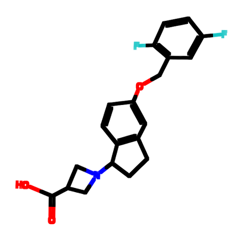 O=C(O)C1CN(C2CCc3cc(OCc4cc(F)ccc4F)ccc32)C1